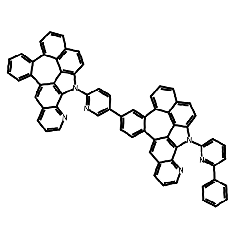 c1ccc(-c2cccc(-n3c4ccc5cccc6c5c4c4c(cc5cccnc5c43)-c3ccc(-c4ccc(-n5c7ccc8cccc9c8c7c7c(cc8cccnc8c75)-c5ccccc5-9)nc4)cc3-6)n2)cc1